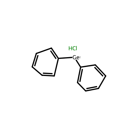 Cl.c1cc[c]([Ge][c]2ccccc2)cc1